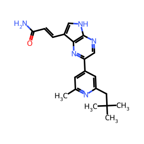 Cc1cc(-c2cnc3[nH]cc(/C=C/C(N)=O)c3n2)cc(CC(C)(C)C)n1